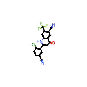 N#Cc1ccc(Cl)c(-c2cc(=O)c3cc(C#N)c(C(F)(F)F)cc3[nH]2)c1